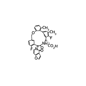 Cc1cc2cc(c1F)[C@H](CC(=O)O)NC(=O)[C@H](n1ccc3occc3c1=O)c1cc(ccc1F)COc1cccc(C)c1-2